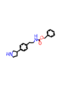 O=C(NCCc1ccc(C2CCNC2)cc1)OCc1ccccc1